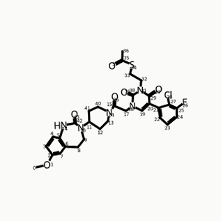 COc1ccc2c(c1)CCN(C1CCN(C(=O)Cn3cc(-c4cccc(F)c4Cl)c(=O)n(CCSC(C)=O)c3=O)CC1)C(=O)N2